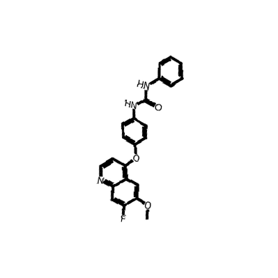 COc1cc2c(Oc3ccc(NC(=O)Nc4ccccc4)cc3)ccnc2cc1F